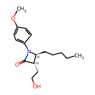 CCCCC[C@H]1[C@H](CCO)C(=O)N1c1ccc(OC)cc1